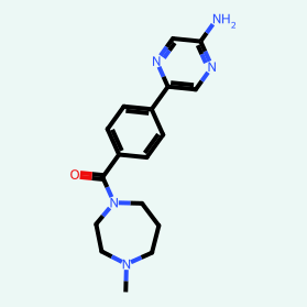 CN1CCCN(C(=O)c2ccc(-c3cnc(N)cn3)cc2)CC1